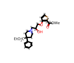 CCOC(=O)C1(c2ccccc2)CCN(CC(O)COc2ccsc2C(=O)OC)CC1